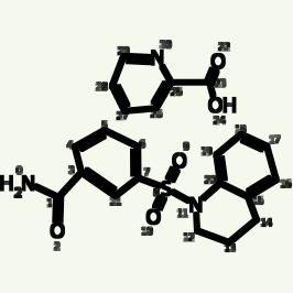 NC(=O)c1cccc(S(=O)(=O)N2CCCc3ccccc32)c1.O=C(O)c1ccccn1